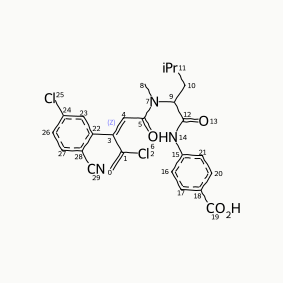 C=C(Cl)/C(=C\C(=O)N(C)C(CC(C)C)C(=O)Nc1ccc(C(=O)O)cc1)c1cc(Cl)ccc1C#N